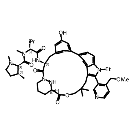 CCn1c(-c2cnccc2COC)c2c3cc(ccc31)-c1cc(O)cc(c1)C[C@H](NC(=O)[C@H](C(C)C)N(C)C(=O)[C@H]1[C@@H](C)CCN1C)C(=O)N1CCC[C@H](N1)C(=O)OCC(C)(C)C2